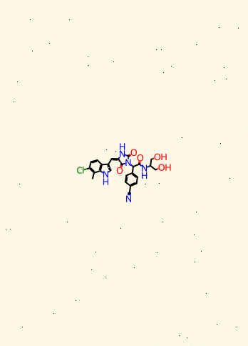 Cc1c(Cl)ccc2c(C=C3NC(=O)N(C(C(=O)NC(CO)CO)c4ccc(C#N)cc4)C3=O)c[nH]c12